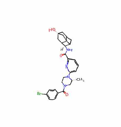 C[C@@H]1CN(C(=O)c2ccc(Br)cc2)CCN1c1cccc(C(=O)N[C@H]2C3CC4CC2C[C@](O)(C4)C3)n1